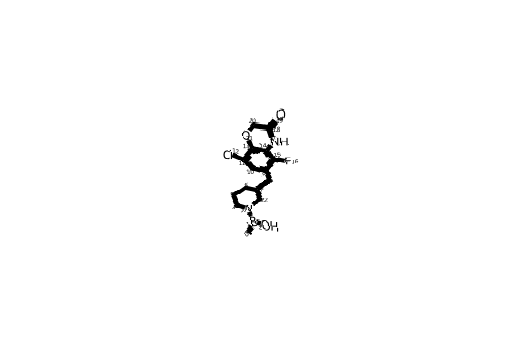 CB(O)N1CCCC(=Cc2cc(Cl)c3c(c2F)NC(=O)CO3)C1